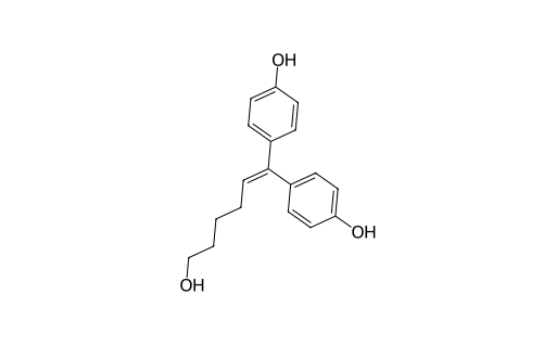 OCCCCC=C(c1ccc(O)cc1)c1ccc(O)cc1